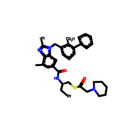 CCCc1nc2c(C)cc(C(=O)N[C@@H](CSC(=O)CN3CCCCC3)CC(C)C)cc2n1Cc1cccc(-c2ccccc2)c1C(=O)O